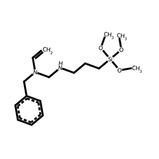 C=CN(CNCCC[Si](OC)(OC)OC)Cc1ccccc1